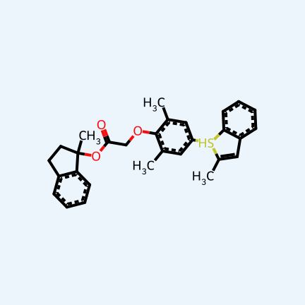 CC1=Cc2ccccc2[SH]1c1cc(C)c(OCC(=O)OC2(C)CCc3ccccc32)c(C)c1